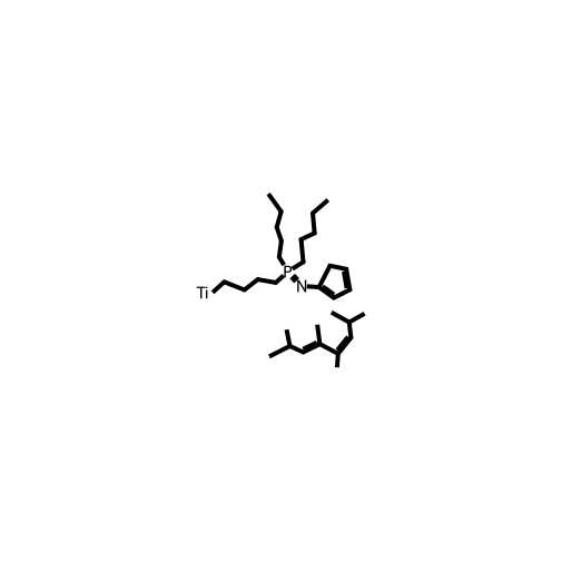 CC(=CC(C)C)C(C)=CC(C)C.CCCCCP(CCCCC)(CCCCC)=NC1=CC=CC1.[Ti]